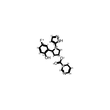 O=C(O[C@@H]1CC(c2cc(F)ccc2O)N(c2ccn[nH]2)C1)N1C=NC=CC1